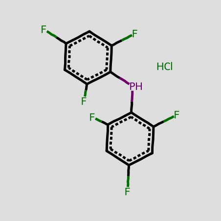 Cl.Fc1cc(F)c(Pc2c(F)cc(F)cc2F)c(F)c1